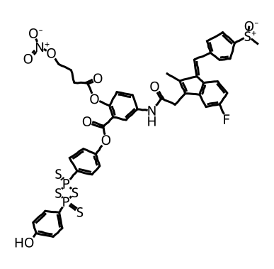 CC1=C(CC(=O)Nc2ccc(OC(=O)CCCO[N+](=O)[O-])c(C(=O)Oc3ccc(P4(=S)SP(=S)(c5ccc(O)cc5)S4)cc3)c2)c2cc(F)ccc2/C1=C\c1ccc([S+](C)[O-])cc1